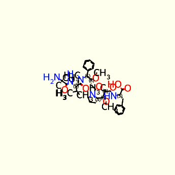 CO[C@H]([C@@H](C)C(=O)N[C@@H](Cc1ccccc1)C(=O)O)[C@@H]1CCCN1C(=O)C[C@@H](OC)[C@H](c1ccccc1)N(C)C(=O)[C@@H](NC(=O)C(C)(C)N)C(C)C